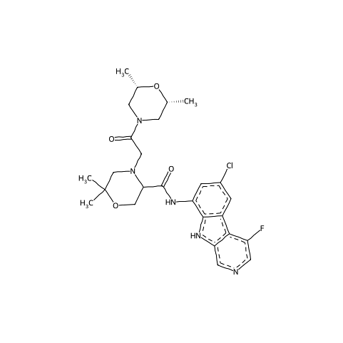 C[C@@H]1CN(C(=O)CN2CC(C)(C)OCC2C(=O)Nc2cc(Cl)cc3c2[nH]c2cncc(F)c23)C[C@H](C)O1